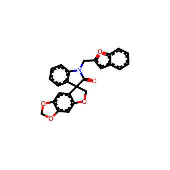 O=C1N(Cc2cc3ccccc3o2)c2ccccc2C12COc1cc3c(cc12)OCO3